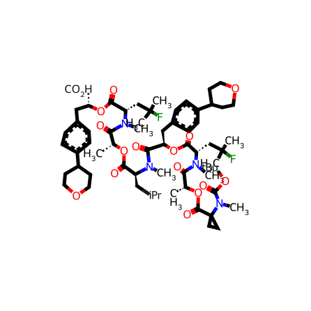 CC(C)C[C@@H](C(=O)O[C@H](C)C(=O)N(C)[C@@H](CC(C)(C)F)C(=O)O[C@H](Cc1ccc(C2CCOCC2)cc1)C(=O)O)N(C)C(=O)[C@@H](Cc1ccc(C2CCOCC2)cc1)OC(=O)[C@H](CC(C)(C)F)N(C)C(=O)[C@@H](C)OC(=O)C1(N(C)C(=O)OC(C)(C)C)CC1